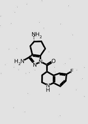 Nc1nn(C(=O)C2CCNc3ccc(F)cc32)c2c1C[C@H](N)CC2